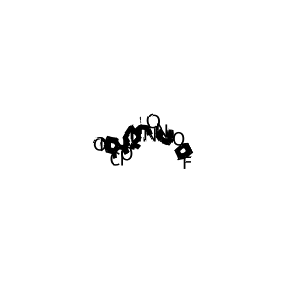 C[C@H](C(=O)Nc1ccc(Oc2ccc(F)cc2)cn1)N1CCN(C(=O)c2cc[n+]([O-])cc2Cl)C(C)(C)C1